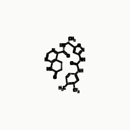 Cc1ccc(NC(=O)Nc2cc([C@@H](C)NC(=O)c3ncnc4c3CCC(=O)N4)on2)cc1C(F)(F)F